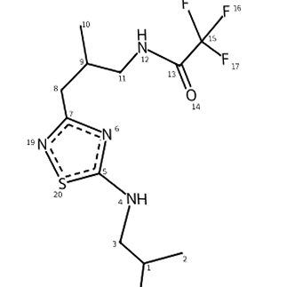 CC(C)CNc1nc(CC(C)CNC(=O)C(F)(F)F)ns1